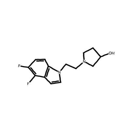 OC1CCN(CCn2ccc3c(F)c(F)ccc32)C1